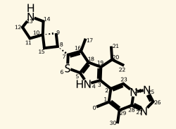 Cc1c(-c2[nH]c3sc([C@H]4C[C@@]5(CCNC5)C4)c(C)c3c2C(C)C)cn2ncnc2c1C